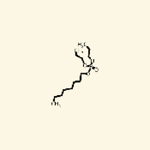 CCCCCCCCOP(=O)(OCCC)OCCC